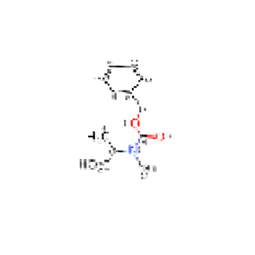 C[C@@H](C(=O)O)N(C(=O)OCc1ccccc1)C(C)(C)C